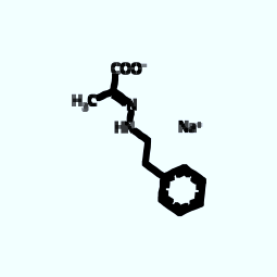 CC(=NNCCc1ccccc1)C(=O)[O-].[Na+]